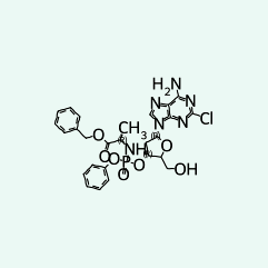 C[C@@H](NP(=O)(Oc1ccccc1)O[C@@H]1C[C@H](n2cnc3c(N)nc(Cl)nc32)OC1CO)C(=O)OCc1ccccc1